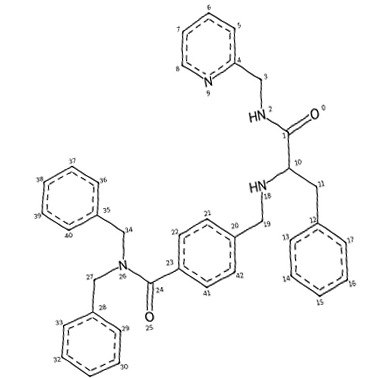 O=C(NCc1ccccn1)C(Cc1ccccc1)NCc1ccc(C(=O)N(Cc2ccccc2)Cc2ccccc2)cc1